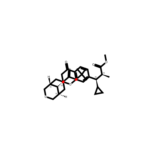 COC(=O)[C@@H](C)[C@H](c1ccc2c(c1)O[C@H](C1[C@@H]3COC[C@@H]1CN(C(=O)OC(C)(C)C)C3)CC2=O)C1CC1